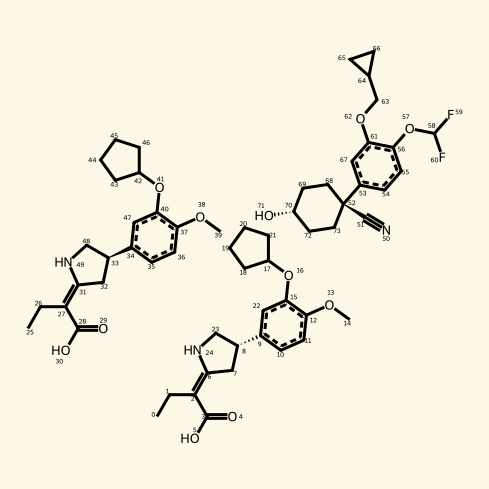 CCC(C(=O)O)=C1C[C@@H](c2ccc(OC)c(OC3CCCC3)c2)CN1.CCC(C(=O)O)=C1C[C@H](c2ccc(OC)c(OC3CCCC3)c2)CN1.N#C[C@]1(c2ccc(OC(F)F)c(OCC3CC3)c2)CC[C@@H](O)CC1